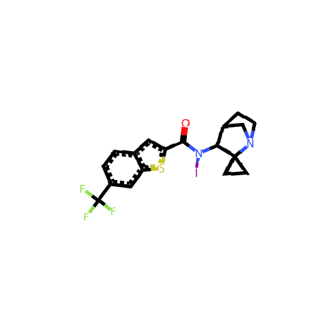 O=C(c1cc2ccc(C(F)(F)F)cc2s1)N(I)C1C2CCN(C2)C12CC2